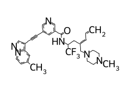 C=C/C=C(\CC(NC(=O)c1cncc(C#Cc2cnn3ccc(C)cc23)c1)C(F)(F)F)CN1CCN(C)CC1